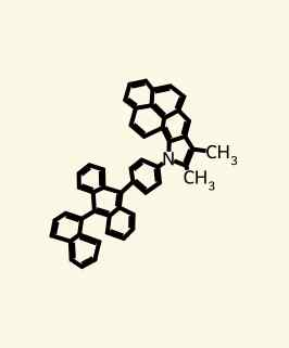 Cc1c(C)n(-c2ccc(-c3c4ccccc4c(-c4cccc5ccccc45)c4ccccc34)cc2)c2c1cc1ccc3cccc4ccc2c1c34